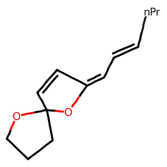 CCC/C=C/C=C1\C=CC2(CCCO2)O1